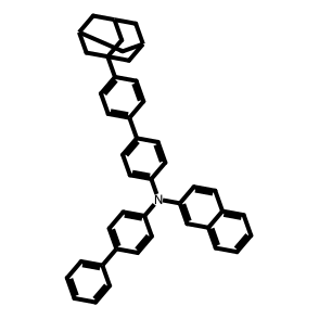 c1ccc(-c2ccc(N(c3ccc(-c4ccc(C56CC7CC(CC(C7)C5)C6)cc4)cc3)c3ccc4ccccc4c3)cc2)cc1